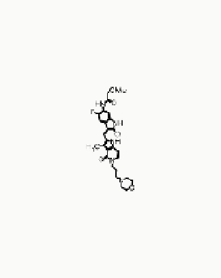 COCC(=O)Nc1cc2c(cc1F)/C(=C/c1[nH]c3c(c1C)C(=O)N(CCCN1CCOCC1)CC3)C(=O)N2